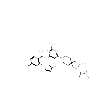 Cc1ccn(-c2cc(Cl)ccc2[C@@H](Oc2cc(N3CCC4(CC3)C[C@@H](C(=O)O)N(C(C)N(C)C)C4)nc(N)n2)C(F)(F)F)n1